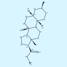 C[C@H]1CC[C@@H]2C3CC[C@@]4(C)C(CC[C@@H]4C(=O)CBr)[C@@H]3CC[C@@H]2C1